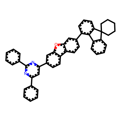 c1ccc(-c2cc(-c3ccc4c(c3)oc3cc(-c5cccc6c5-c5ccccc5C65CCCCC5)ccc34)nc(-c3ccccc3)n2)cc1